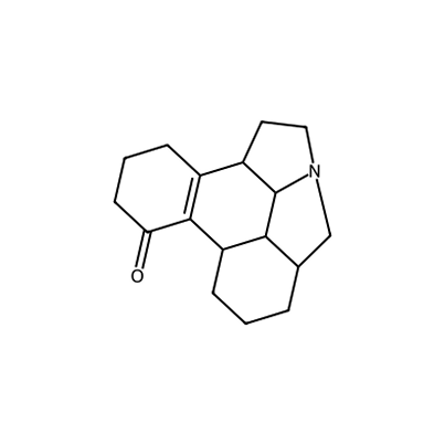 O=C1CCCC2=C1C1CCCC3CN4CCC2C4C31